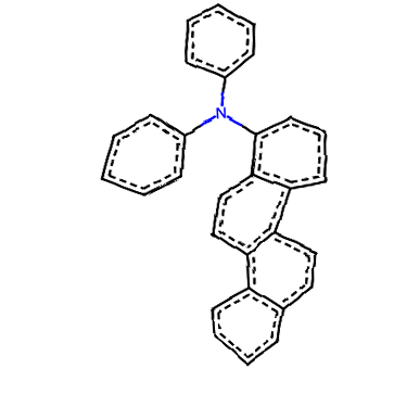 c1ccc(N(c2ccccc2)c2cccc3c2ccc2c4ccccc4ccc32)cc1